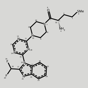 CSCC[C@H](N)C(=O)N1CCN(c2ncnc(-n3c(C(F)F)nc4ccccc43)n2)CC1